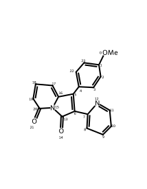 COc1ccc(C2=C(c3ccccn3)C(=O)n3c2cccc3=O)cc1